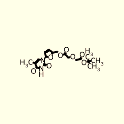 Cc1cn(C2C=CC(COC(=O)COCC(=O)OC(C)(C)C)O2)c(=O)[nH]c1=O